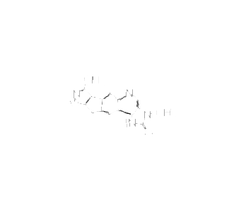 Cc1noc2c1-c1cc3ncc4c([nH]c(=O)n4C)c3cc1C2